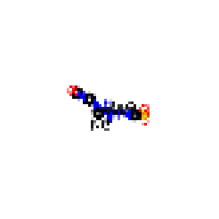 COc1cc(S(C)(=O)=O)ccc1NCC#Cc1cc2c(NC3CCC(N4CCOCC4)CC3)cccc2n1CC#N